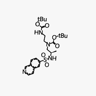 C[C@H](CN(CCNC(=O)OC(C)(C)C)C(=O)OC(C)(C)C)NS(=O)(=O)c1ccc2cnccc2c1